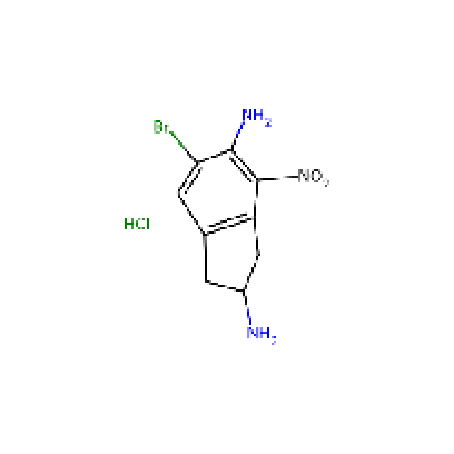 Cl.Nc1c(Br)cc2c(c1[N+](=O)[O-])CC(N)C2